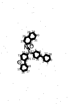 c1ccc(-c2ccc(N(c3ccc4oc5ccccc5c4c3)c3nc4ccc5ccccc5c4o3)cc2)cc1